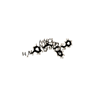 Cl.NCc1ccc(NC(=O)C2OC2C(=O)N[C@@H](Cc2ccccc2)C(=O)NCCc2ccccc2)cc1